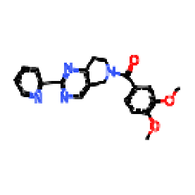 COc1ccc(C(=O)N2CCc3nc(-c4ccccn4)ncc3C2)cc1OC